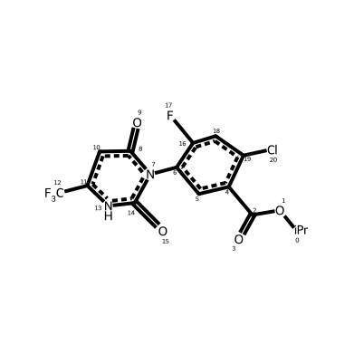 CC(C)OC(=O)c1cc(-n2c(=O)cc(C(F)(F)F)[nH]c2=O)c(F)cc1Cl